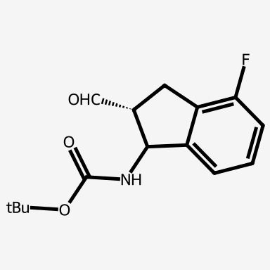 CC(C)(C)OC(=O)NC1c2cccc(F)c2C[C@H]1C=O